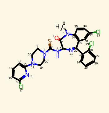 CN1C(=O)C(NC(=S)N2CCN(c3cccc(Cl)n3)CC2)N=C(c2ccccc2Cl)c2cc(Cl)ccc21